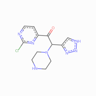 O=C(c1ccnc(Cl)n1)C(c1c[nH]nn1)N1CCNCC1